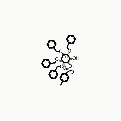 Cc1ccc(S(=O)(=O)O[C@H]2[C@@H](O)[C@@H](OCc3ccccc3)[C@H](OCc3ccccc3)[C@@H](OCc3ccccc3)[C@@H]2OCc2ccccc2)cc1